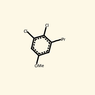 [CH2]C(C)c1cc(OC)cc(Cl)c1Cl